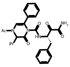 CC(=O)N1C=C(c2ccccc2)N(C(=O)N[C@@H](Cc2ccccc2)C(=O)C(N)=O)C(=O)C1C(C)C